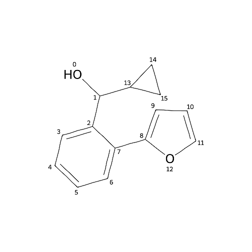 OC(c1ccccc1-c1ccco1)C1CC1